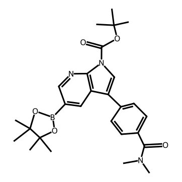 CN(C)C(=O)c1ccc(-c2cn(C(=O)OC(C)(C)C)c3ncc(B4OC(C)(C)C(C)(C)O4)cc23)cc1